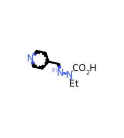 CCN(/N=C/c1ccncc1)C(=O)O